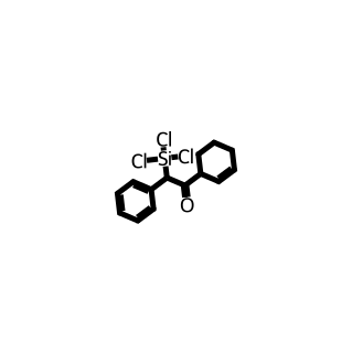 O=C(C1C=CCCC1)C(c1ccccc1)[Si](Cl)(Cl)Cl